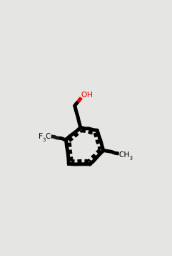 Cc1ccc(C(F)(F)F)c(CO)c1